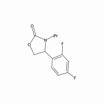 CC(C)N1C(=O)OCC1c1ccc(F)cc1F